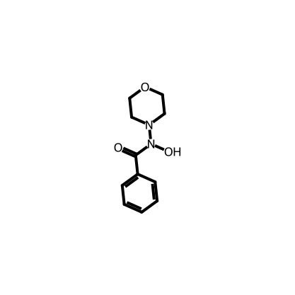 O=C(c1ccccc1)N(O)N1CCOCC1